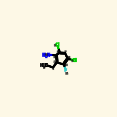 CCc1c(N)c(Cl)cc(Cl)c1F